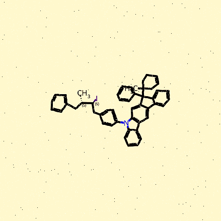 C[C@@H](Cc1ccccc1)[C@@H](I)Cc1ccc(-n2c3ccccc3c3cc4c(cc32)C(c2ccccc2)(C2(C)CC=CCC2)c2ccccc2-4)cc1